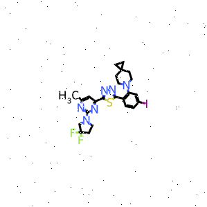 Cc1cc(-c2nnc(-c3ccc(I)cc3N3CCC4(CC3)CC4)s2)nc(N2CCC(F)(F)C2)n1